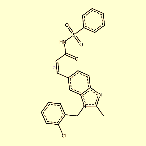 Cc1nc2ccc(/C=C\C(=O)NS(=O)(=O)c3ccccc3)cc2n1Cc1ccccc1Cl